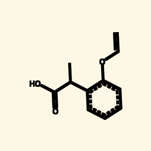 C=COc1ccccc1C(C)C(=O)O